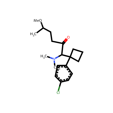 COC(C)CCC(=O)C(N(C)C)C1(c2ccc(Cl)cc2)CCC1